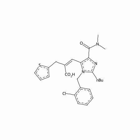 CCCCc1nc(C(=O)N(C)C)c(C=C(Cc2cccs2)C(=O)O)n1Cc1ccccc1Cl